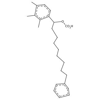 Cc1ccc(C(CCCCCCCCc2ccccc2)OC(=O)O)c(C)c1C